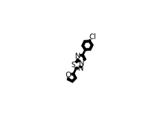 Clc1ccc(-c2cn3nc(-c4ccco4)sc3n2)cc1